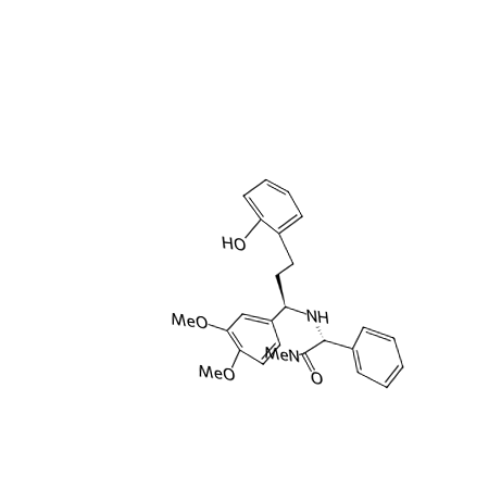 CNC(=O)[C@H](N[C@H](CCc1ccccc1O)c1ccc(OC)c(OC)c1)c1ccccc1